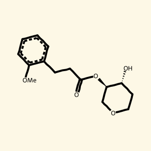 COc1ccccc1CCC(=O)O[C@@H]1COCC[C@H]1O